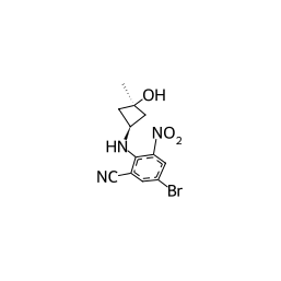 C[C@]1(O)C[C@@H](Nc2c(C#N)cc(Br)cc2[N+](=O)[O-])C1